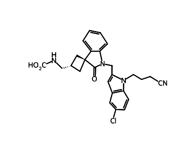 N#CCCCn1c(CN2c3ccccc3[C@]3(C[C@@H](CNC(=O)O)C3)C2=O)cc2cc(Cl)ccc21